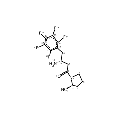 N#C[C@@H]1CCCN1C(=O)C[C@H](N)Cc1c(F)c(F)c(F)c(F)c1F